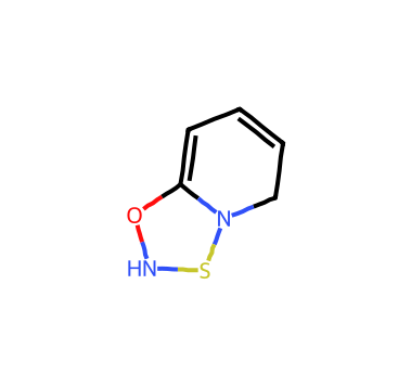 C1=CCN2SNOC2=C1